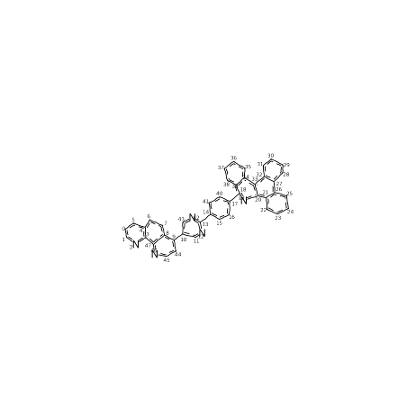 c1cnc2c(c1)ccc1c(-c3cnc(-c4ccc(-c5nc6c7ccccc7c7ccccc7c6c6ccccc56)cc4)nc3)ccnc12